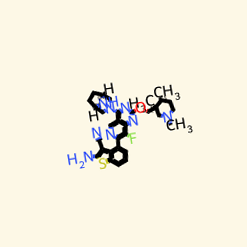 C[C@H]1CCN(C)C[C@@]1(C)COc1nc(N2C[C@H]3CC[C@@H](C2)N3)c2cnc(-c3cccc4sc(N)c(C#N)c34)c(F)c2n1